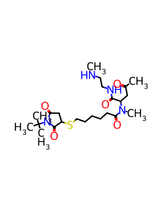 CNCCNC(=O)C(CC(C)=O)N(C)C(=O)CCCCCSC1CC(=O)N(C(C)(C)C)C1=O